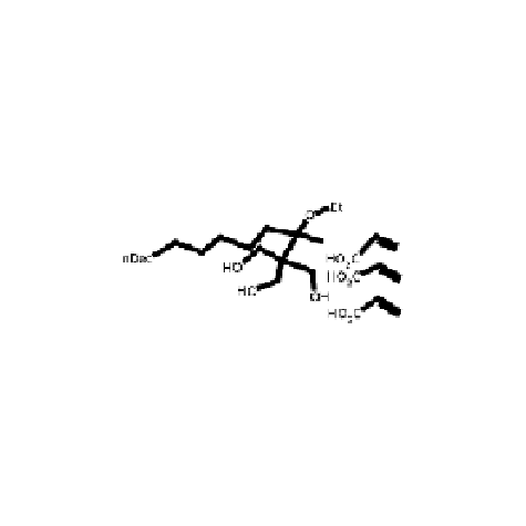 C=CC(=O)O.C=CC(=O)O.C=CC(=O)O.CCCCCCCCCCCCCCCC(C)(OCC)C(CO)(CO)CO